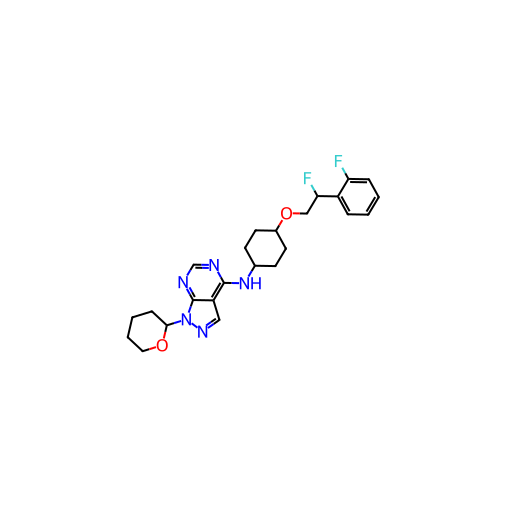 Fc1ccccc1C(F)COC1CCC(Nc2ncnc3c2cnn3C2CCCCO2)CC1